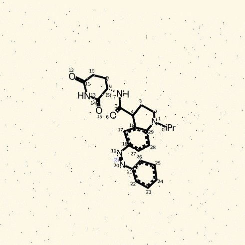 CC(C)N1CCC(C(=O)N[C@H]2CCC(=O)NC2=O)c2cc(/N=N\c3ccccc3)ccc21